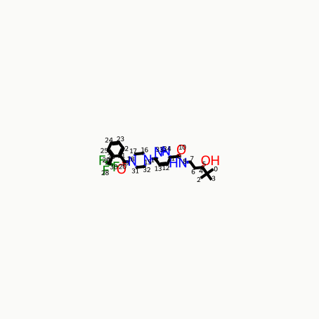 CC(C)(C)C(O)CCNC(=O)c1ccc(N2CCN(C(=O)c3ccccc3C(F)(F)F)CC2)nn1